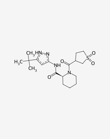 CC(C)(C)c1cc(NC(=O)[C@@H]2CCCCN2C(=O)C2CCS(=O)(=O)C2)n[nH]1